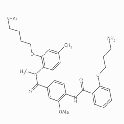 COc1cc(C(=O)N(C)c2ccc(C)cc2OCCCCNC(C)=O)ccc1NC(=O)c1ccccc1OCCCN